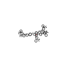 C=C(C)C(=O)OCCOCCOC(COC(=O)C(=C)C)CC(C)(c1ccc(OCC(O)COC(=O)C(=C)C)cc1)c1ccc(OCC(O)COC(=O)C(=C)C)cc1